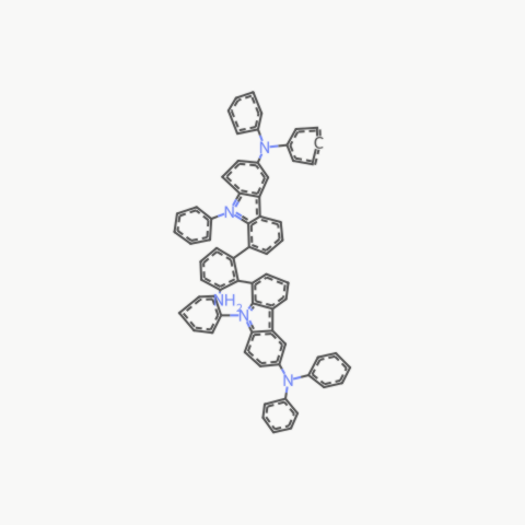 Nc1cccc(-c2cccc3c4cc(N(c5ccccc5)c5ccccc5)ccc4n(-c4ccccc4)c23)c1-c1cccc2c3cc(N(c4ccccc4)c4ccccc4)ccc3n(-c3ccccc3)c12